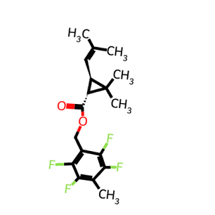 CC(C)=C[C@@H]1[C@@H](C(=O)OCc2c(F)c(F)c(C)c(F)c2F)C1(C)C